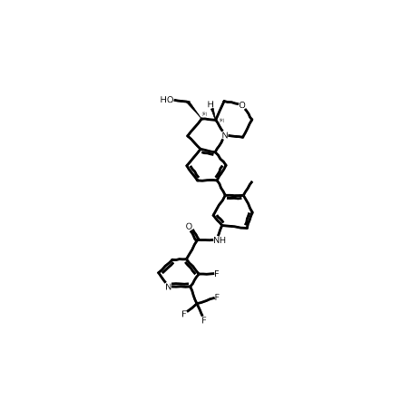 Cc1ccc(NC(=O)c2ccnc(C(F)(F)F)c2F)cc1-c1ccc2c(c1)N1CCOC[C@H]1[C@H](CO)C2